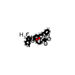 Cc1cc2ccncc2c(Oc2ccc(C[C@](Cc3ccccc3)(Nc3c(N4CCCCCC4)c(=O)c3=O)C(=O)O)cc2)n1